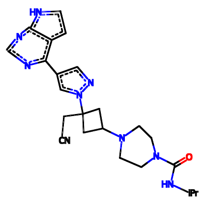 CC(C)NC(=O)N1CCN(C2CC(CC#N)(n3cc(-c4ncnc5[nH]ccc45)cn3)C2)CC1